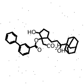 O=C(O)CC1(OC(=O)c2cccc(-c3ccccc3)c2)C(O)CCC1CCC(O)C12CC3CC(CC(C3)C1)C2